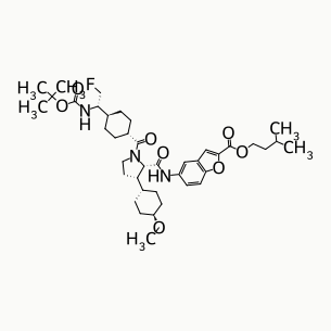 CO[C@H]1CC[C@H]([C@@H]2CCN(C(=O)[C@H]3CC[C@H]([C@@H](CF)NC(=O)OC(C)(C)C)CC3)[C@@H]2C(=O)Nc2ccc3oc(C(=O)OCCC(C)C)cc3c2)CC1